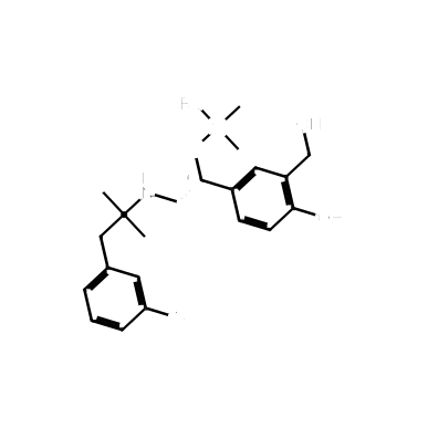 CC(=O)c1cccc(CC(C)(C)NC[C@H](O[Si](C)(C)C(C)(C)C)c2ccc(O)c(CO)c2)c1